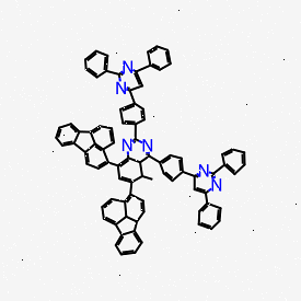 CC1C(C2=C3C=CC=C4c5ccccc5C(C=C2)C43)=CC(c2ccc3c4c(cccc24)-c2ccccc2-3)=C2N=C(c3ccc(-c4cc(-c5ccccc5)nc(-c5ccccc5)n4)cc3)N=C(c3ccc(-c4cc(-c5ccccc5)nc(-c5ccccc5)n4)cc3)C21